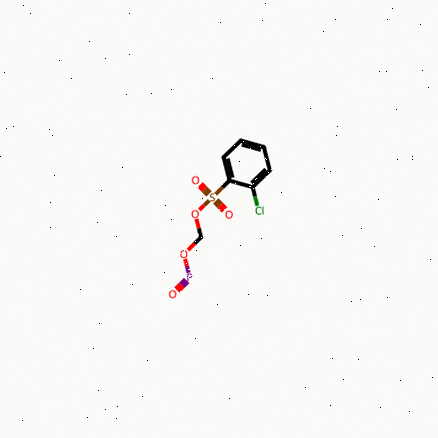 O=POCOS(=O)(=O)c1ccccc1Cl